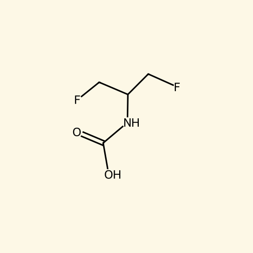 O=C(O)NC(CF)CF